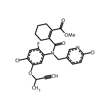 C#CC(C)Oc1cc(N(Cc2ccc(Cl)nc2)C(=O)C2=C(C(=O)OC)CCCC2)c(F)cc1Cl